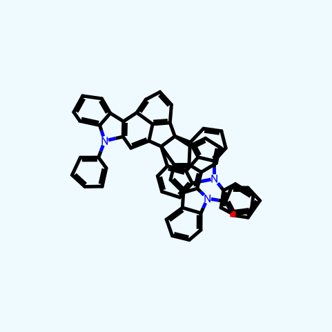 c1ccc(-n2c3cccc4c3c3c(cccc32)C23c5cc6c(c7cccc(c57)C42c2cccc4c2c3cc2c3ccccc3n(-c3ccccc3)c42)c2ccccc2n6-c2ccccc2)cc1